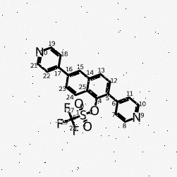 O=S(=O)(Oc1c(-c2ccncc2)ccc2cc(-c3ccncc3)ccc12)C(F)(F)F